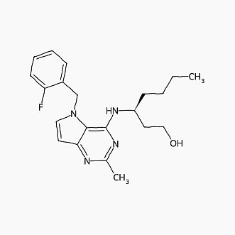 CCCC[C@@H](CCO)Nc1nc(C)nc2ccn(Cc3ccccc3F)c12